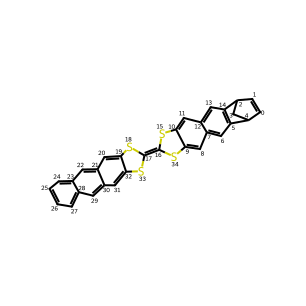 C1=CC2CC1c1cc3cc4c(cc3cc12)SC(=C1Sc2cc3cc5ccccc5cc3cc2S1)S4